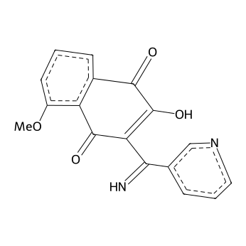 COc1cccc2c1C(=O)C(C(=N)c1cccnc1)=C(O)C2=O